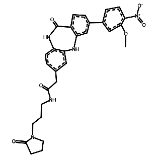 COc1cc(-c2ccc3c(c2)Nc2cc(CC(=O)NCCCN4CCCC4=O)ccc2NC3=O)ccc1[N+](=O)[O-]